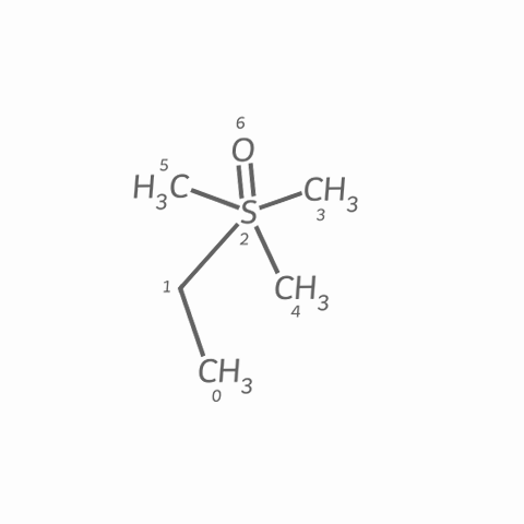 CCS(C)(C)(C)=O